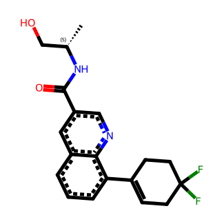 C[C@@H](CO)NC(=O)c1cnc2c(C3=CCC(F)(F)CC3)cccc2c1